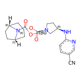 CC(C)(C)OC(=O)N1[C@@H]2CC[C@H]1C[C@@H](OC(=O)N1CC[C@@H](Nc3ccc(C#N)cn3)C1)C2